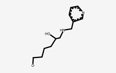 [O]CCCCC(O)CNCc1cccnc1